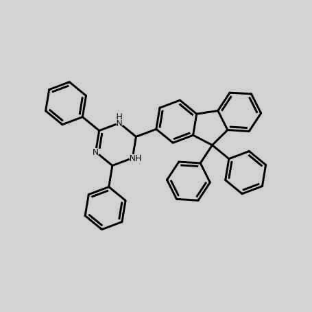 c1ccc(C2=NC(c3ccccc3)NC(c3ccc4c(c3)C(c3ccccc3)(c3ccccc3)c3ccccc3-4)N2)cc1